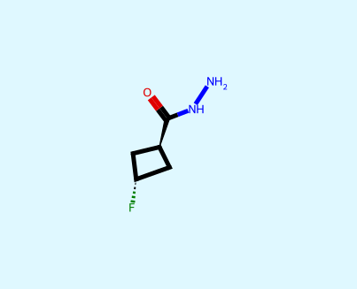 NNC(=O)[C@H]1C[C@H](F)C1